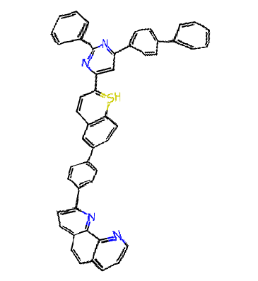 C1=Cc2cc(-c3ccc(-c4ccc5ccc6cccnc6c5n4)cc3)ccc2[SH]=C1c1cc(-c2ccc(-c3ccccc3)cc2)nc(-c2ccccc2)n1